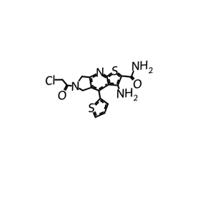 NC(=O)c1sc2nc3c(c(-c4cccs4)c2c1N)CN(C(=O)CCl)C3